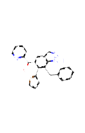 O=C(c1ccccn1)c1cc2cn[nH]c2c(Cc2ccccc2)c1-c1cccs1